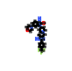 Cc1[nH]c(-c2ccc(C(F)(F)F)cc2)nc1CN1CCC(n2c(=O)[nH]c3ccc(N4CCOCC4)cc32)CC1